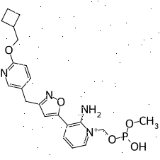 COP(O)OC[n+]1cccc(-c2cc(Cc3ccc(OCC4CCC4)nc3)no2)c1N